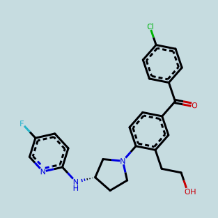 O=C(c1ccc(Cl)cc1)c1ccc(N2CC[C@H](Nc3ccc(F)cn3)C2)c(CCO)c1